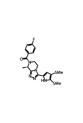 CSc1cc(-c2nnc3n2CCN(C(=O)c2ccc(F)cc2)[C@@H]3C)[nH]c1SC